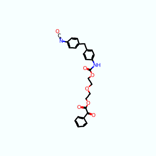 O=C=Nc1ccc(Cc2ccc(NC(=O)OCCOCCOC(=O)C(=O)c3ccccc3)cc2)cc1